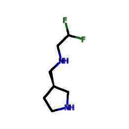 FC(F)CNC[C@@H]1CCNC1